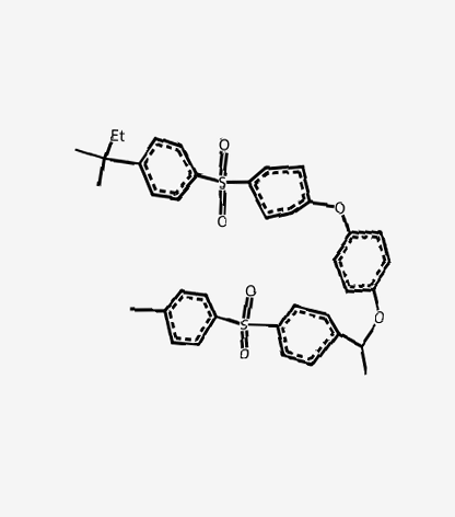 CCC(C)(C)c1ccc(S(=O)(=O)c2ccc(Oc3ccc(OC(C)c4ccc(S(=O)(=O)c5ccc(C)cc5)cc4)cc3)cc2)cc1